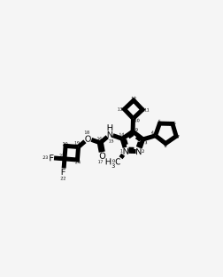 Cn1nc(C2CCCC2)c(C2CCC2)c1NC(=O)OC1CC(F)(F)C1